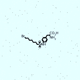 N[C@@H](Cc1ccc(NS(=O)(=O)CCCCCCCBr)cc1)C(=O)O